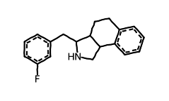 Fc1cccc(CC2NCC3c4ccccc4CCC23)c1